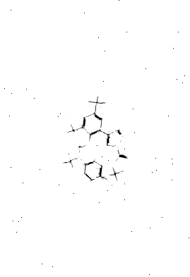 [2H]C([2H])([2H])N(C(=O)Oc1c(-c2cnn(C(=O)OC(C)(C)C)c2)cc(C(F)(F)F)cc1C(F)(F)F)c1ccc(F)cc1